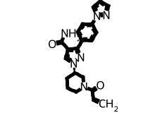 C=CC(=O)N1CCC[C@@H](n2cc(C(N)=O)c(-c3ccc(-n4cccn4)cc3)n2)C1